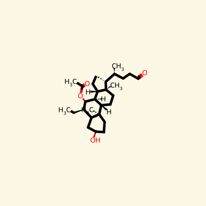 CC[C@@H]1C2C[C@H](O)CC[C@]2(C)[C@H]2CC[C@]3(C)[C@@H]([C@H](C)CCC=O)CC[C@H]3[C@@H]2[C@@H]1OC(C)=O